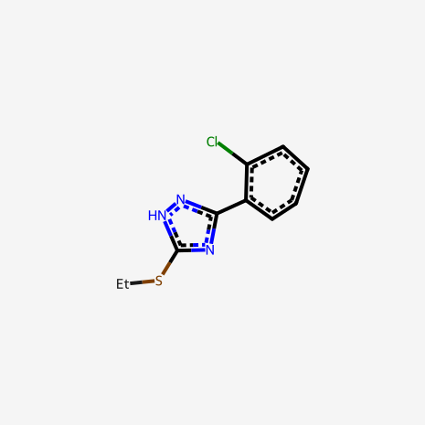 CCSc1nc(-c2ccccc2Cl)n[nH]1